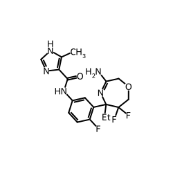 CCC1(c2cc(NC(=O)c3nc[nH]c3C)ccc2F)N=C(N)COCC1(F)F